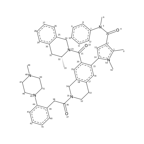 Cc1c(C(=O)N(C)c2ccccc2)cc(-c2cc3c(cc2C(=O)N2Cc4ccccc4C[C@H]2C)CN(C(=O)Cc2ccccc2N2CCN(C)CC2)CC3)n1C